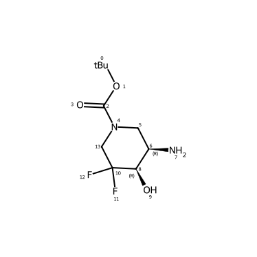 CC(C)(C)OC(=O)N1C[C@@H](N)[C@@H](O)C(F)(F)C1